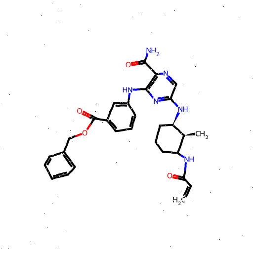 C=CC(=O)NC1CCC[C@@H](Nc2cnc(C(N)=O)c(Nc3cccc(C(=O)OCc4ccccc4)c3)n2)[C@H]1C